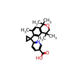 Cc1cc2c(cc1C1(c3ccc(C(=O)O)cn3)CC1)C(C)(C)COC2(C)C